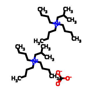 CCCC[N+](CCCC)(CCCC)CC(C)C.CCCC[N+](CCCC)(CCCC)CC(C)C.O=C([O-])[O-]